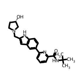 CC(C)(C)NC(=O)c1cccc(-c2ccc3[nH]c(CN4CC[C@H](O)C4)cc3c2)n1